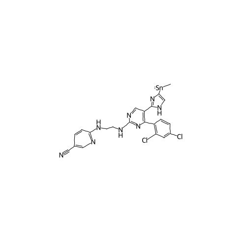 [CH3][Sn][c]1c[nH]c(-c2cnc(NCCNc3ccc(C#N)cn3)nc2-c2ccc(Cl)cc2Cl)n1